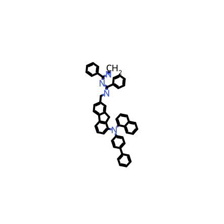 C=N/C(=N\C(=N/Cc1ccc2c(c1)Cc1c-2cccc1N(c1ccc(-c2ccccc2)cc1)c1cccc2ccccc12)c1ccccc1)c1ccccc1